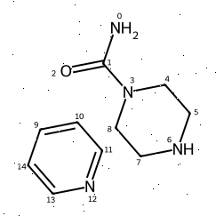 NC(=O)N1CCNCC1.c1ccncc1